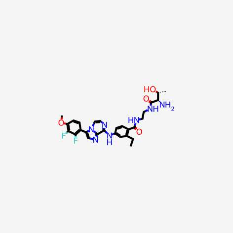 CCc1cc(Nc2nccn3c(-c4ccc(OC)c(F)c4F)cnc23)ccc1C(=O)NCCNC(=O)[C@@H](N)[C@@H](C)O